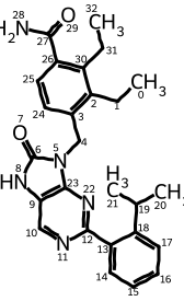 CCc1c(Cn2c(=O)[nH]c3cnc(-c4ccccc4C(C)C)nc32)ccc(C(N)=O)c1CC